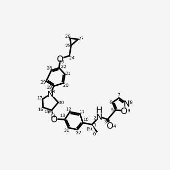 C[C@H](NC(=O)c1ccno1)c1ccc(O[C@@H]2CCN(c3ccc(OCC4CC4)cc3)C2)cc1